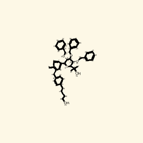 Cc1ccc(C2OC(C(C)(C)O)[C@@H](OCc3ccccc3)C(OCc3ccccc3)[C@H]2OCc2ccccc2)cc1Cc1ccc(CCCCO)cc1